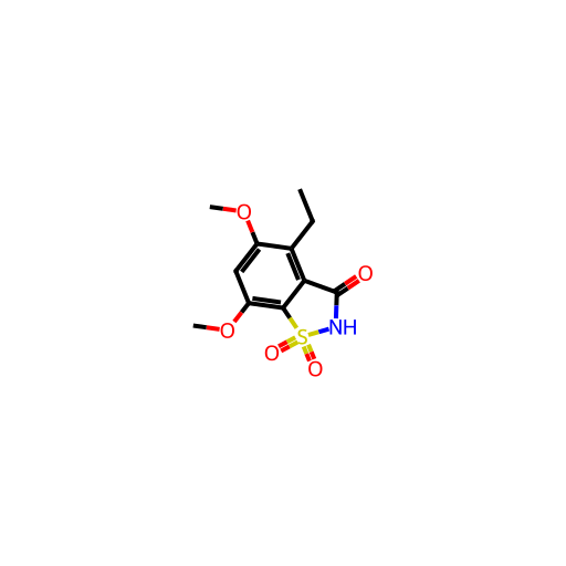 CCc1c(OC)cc(OC)c2c1C(=O)NS2(=O)=O